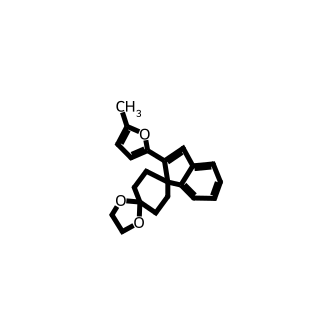 Cc1ccc(C2=Cc3ccccc3C23CCC2(CC3)OCCO2)o1